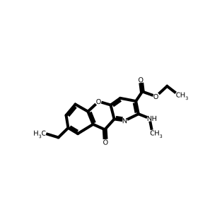 CCOC(=O)c1cc2oc3ccc(CC)cc3c(=O)c2nc1NC